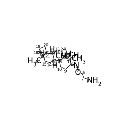 CC1(C)C(=NOCCN)CC[C@]2(C)[C@H]3CC[C@]4(C)CCC[C@H]4[C@@H]3CC[C@@H]12